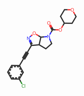 O=C(OC1CCOCC1)N1CCC2C(C#Cc3cccc(Cl)c3)=NOC21